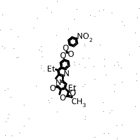 CCc1c2c(nc3ccc(OC(=O)Oc4ccc([N+](=O)[O-])cc4)cc13)-c1cc3c(c(=O)n1C2)COC1=C(C)O[C@]13CC